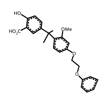 COc1cc(OCCOc2ccccc2)ccc1C(C)(C)c1ccc(O)c(C(=O)O)c1